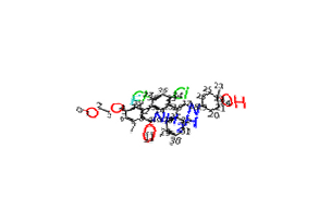 COCCOc1ccc(C(N)=O)c(-c2cc(C(CNC3CCC(C)(O)CC3)c3ccccc3)c(Cl)cc2Cl)c1F